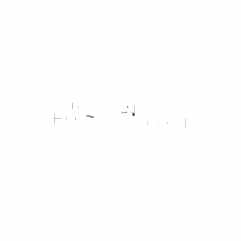 CCCC(O)C#CC1C(O)CC2/C(=N\OCC(=O)O)CC21